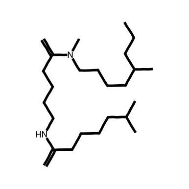 C=C(CCCCC(C)C)NCCCCC(=C)N(C)CCCCC(C)CCC